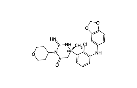 C[C@@]1(c2cccc(Nc3ccc4c(c3)OCO4)c2Cl)CC(=O)N(C2CCOCC2)C(=N)N1